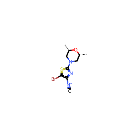 [C-]#[N+]c1nc(N2C[C@@H](C)O[C@@H](C)C2)sc1Br